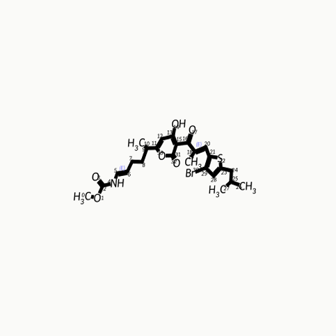 COC(=O)N/C=C/CCC(C)c1cc(O)c(C(=O)/C(C)=C/c2sc(CC(C)C)cc2Br)c(=O)o1